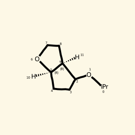 CC(C)OC1CC[C@H]2OCC[C@@H]12